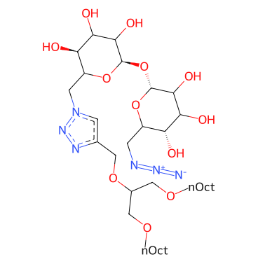 CCCCCCCCOCC(COCCCCCCCC)OCc1cn(CC2O[C@H](O[C@H]3OC(CN=[N+]=[N-])[C@@H](O)C(O)C3O)C(O)C(O)[C@@H]2O)nn1